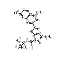 CN(NC(=O)c1cc2c(N)nn(C(=O)OC(C)(C)C)c2s1)c1ccc(Cl)cc1